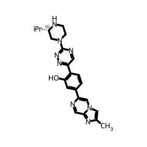 Cc1cn2cc(-c3ccc(-c4cnc(N5CCN[C@@H](C(C)C)C5)nn4)c(O)c3)ncc2n1